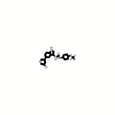 O=C(Nc1ccc(SC(F)(F)F)cc1)Nc1c[nH]c2ccc(-c3cncc(Cl)c3)cc12